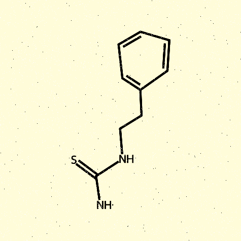 [NH]C(=S)NCCc1ccccc1